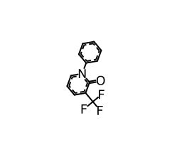 O=c1c(C(F)(F)F)cccn1-c1ccccc1